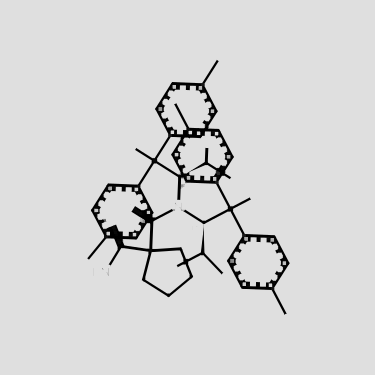 Cc1ccc(C(O)(c2ccc(C)cc2)[C@@H](C(C)C)N(C(=O)C2(C(N)=O)CCCC2)[C@H](C(C)C)C(O)(c2ccc(C)cc2)c2ccc(C)cc2)cc1